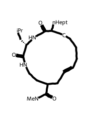 CCCCCCCC1CCCC/C=C/CC(C(=O)NC)CCNC(=O)[C@H](CC(C)C)NC1=O